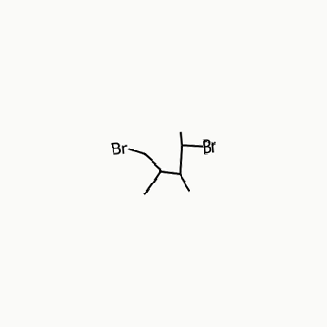 CC(Br)C(C)C(C)CBr